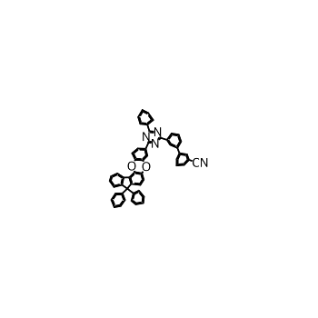 N#Cc1cccc(-c2cccc(-c3nc(-c4ccccc4)nc(-c4ccc5c(c4)Oc4ccc6c(c4O5)-c4ccccc4C6(c4ccccc4)c4ccccc4)n3)c2)c1